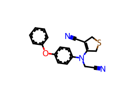 N#CCN(C1=C(C#N)CSC1)c1ccc(Oc2ccccc2)cc1